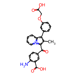 Cc1c(-c2cccc(OCC(=O)O)c2)c2ccccn2c1C(=O)c1ccc(N)c(C(=O)O)c1